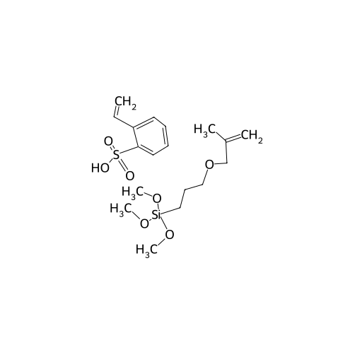 C=C(C)COCCC[Si](OC)(OC)OC.C=Cc1ccccc1S(=O)(=O)O